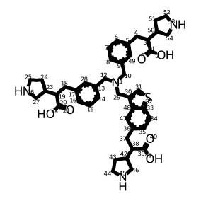 O=C(O)C(Cc1cccc(CN(Cc2cccc(CC(C(=O)O)C3CCNC3)c2)Cc2csc3ccc(CC(C(=O)O)C4CCNC4)cc23)c1)C1CCNC1